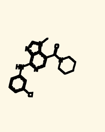 Cn1cnc2c(Nc3cccc(Cl)c3)ncc(C(=O)N3CCCCC3)c21